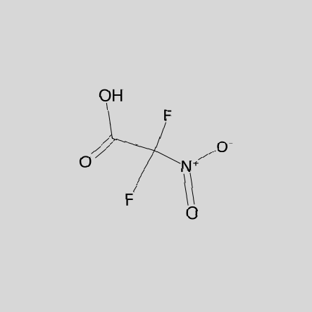 O=C(O)C(F)(F)[N+](=O)[O-]